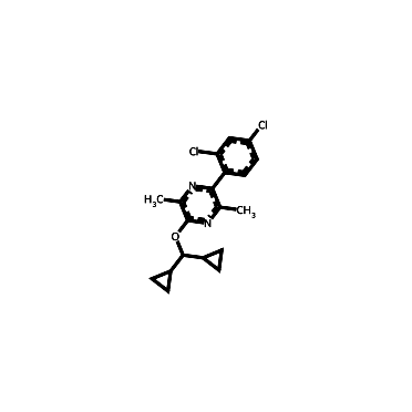 Cc1nc(-c2ccc(Cl)cc2Cl)c(C)nc1OC(C1CC1)C1CC1